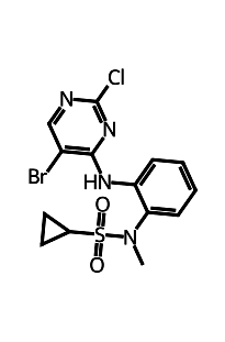 CN(c1ccccc1Nc1nc(Cl)ncc1Br)S(=O)(=O)C1CC1